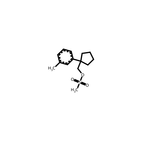 Cc1cccc(C2(COS(C)(=O)=O)CCCC2)c1